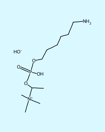 CC(OP(=O)(O)OCCCCCCN)[N+](C)(C)C.[OH-]